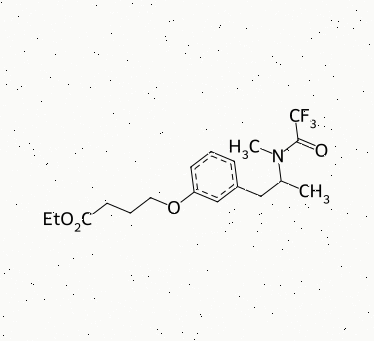 CCOC(=O)CCCOc1cccc(CC(C)N(C)C(=O)C(F)(F)F)c1